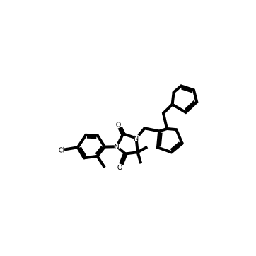 Cc1cc(Cl)ccc1N1C(=O)N(CC2=CC=CCC2CC2C=CC=CC2)C(C)(C)C1=O